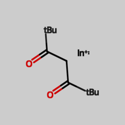 CC(C)(C)C(=O)CC(=O)C(C)(C)C.[In+]